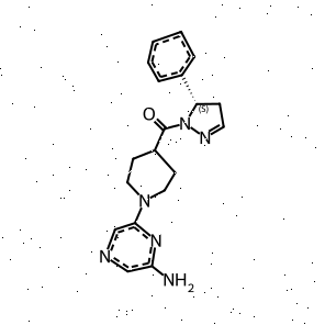 Nc1cncc(N2CCC(C(=O)N3N=CC[C@H]3c3ccccc3)CC2)n1